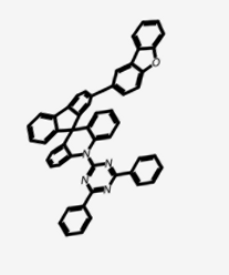 c1ccc(-c2nc(-c3ccccc3)nc(N3c4ccccc4C4(c5ccccc5-c5ccc(-c6ccc7oc8ccccc8c7c6)cc54)c4ccccc43)n2)cc1